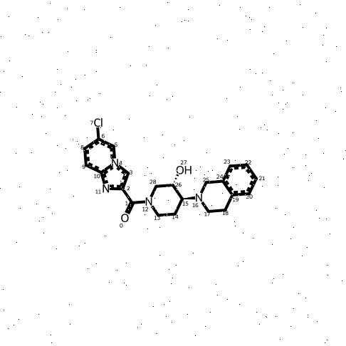 O=C(c1cn2cc(Cl)ccc2n1)N1CC[C@H](N2CCc3ccccc3C2)[C@@H](O)C1